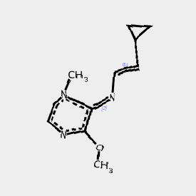 COc1nccn(C)/c1=N\C=C\C1CC1